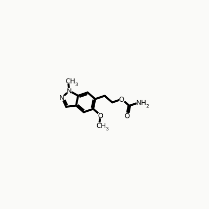 COc1cc2cnn(C)c2cc1CCOC(N)=O